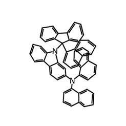 c1ccc2c(c1)-c1ccccc1C2(c1cccc2ccccc12)n1c2ccccc2c2ccc(N(c3cccc4ccccc34)c3cccc4ccccc34)cc21